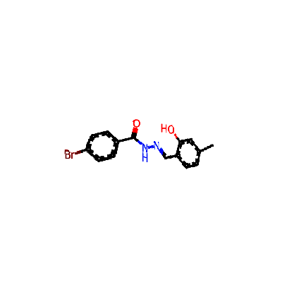 Cc1ccc(/C=N/NC(=O)c2ccc(Br)cc2)c(O)c1